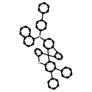 c1ccc(-c2ccc(N(c3ccc4c(c3)C3(c5ccccc5Oc5cc(-c6ccccc6)c(-c6ccccc6)cc53)c3ccccc3-4)c3cccc4ccccc34)cc2)cc1